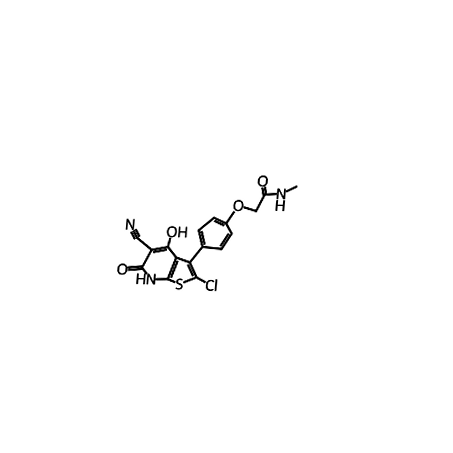 CNC(=O)COc1ccc(-c2c(Cl)sc3[nH]c(=O)c(C#N)c(O)c23)cc1